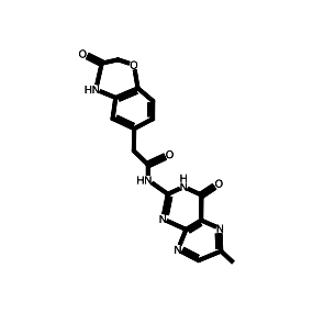 Cc1cnc2nc(NC(=O)Cc3ccc4c(c3)NC(=O)CO4)[nH]c(=O)c2n1